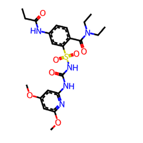 CCC(=O)Nc1ccc(C(=O)N(CC)CC)c(S(=O)(=O)NC(=O)Nc2cc(OC)cc(OC)n2)c1